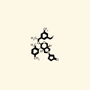 Cc1ccc(C)c([C@@H]2[C@@H](O[C@H](C)c3cc(CF)cc(C(F)(F)F)c3)OC[C@@H]3CN(C4=CC(=O)CC4)C[C@H]32)c1